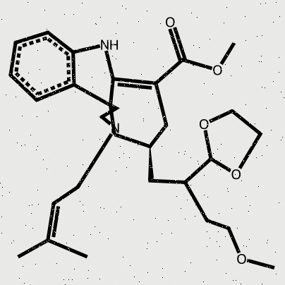 COCCC(C[C@@H]1CC(C(=O)OC)=C2Nc3ccccc3C23CCN(CC=C(C)C)C13)C1OCCO1